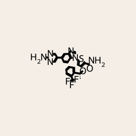 C[C@@H](Oc1cc(-n2cnc3cc(-c4cnc(N)nc4)ccc32)sc1C(N)=O)c1ccccc1C(F)(F)F